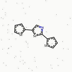 c1c[se]c(-c2cnc(-c3ccc[se]3)[se]2)c1